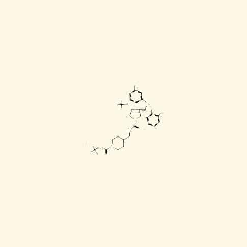 CC(C)(C)C[C@@H]1CN(C(=O)NCC2CCN(C(=O)OC(C)(C)C)CC2)[C@H](c2cccc(Cl)c2F)[C@]12C(=O)Nc1cc(Cl)ccc12